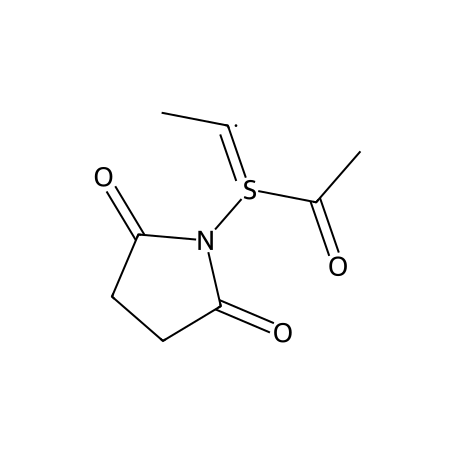 C/[C]=S(/C(C)=O)N1C(=O)CCC1=O